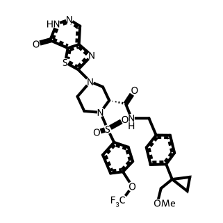 COCC1(c2ccc(CNC(=O)[C@H]3CN(c4nc5cn[nH]c(=O)c5s4)CCN3S(=O)(=O)c3ccc(OC(F)(F)F)cc3)cc2)CC1